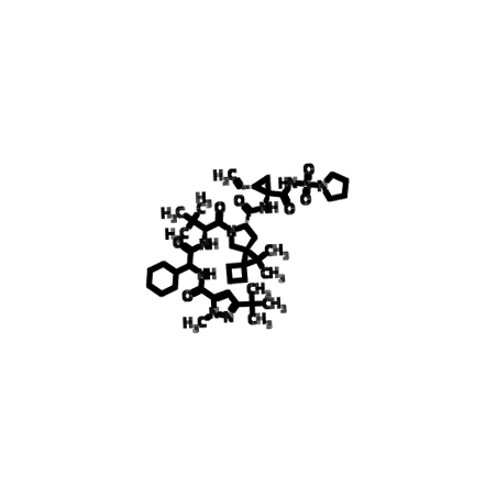 C=C[C@@H]1C[C@]1(NC(=O)[C@@H]1C[C@@]2(CN1C(=O)[C@@H](NC(=O)C(NC(=O)c1cc(C(C)(C)C)nn1C)C1CCCCC1)C(C)(C)C)C(C)(C)C21CCC1)C(=O)NS(=O)(=O)N1CCCC1